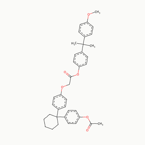 COc1ccc(C(C)(C)c2ccc(OC(=O)COc3ccc(C4(c5ccc(OC(C)=O)cc5)CCCCC4)cc3)cc2)cc1